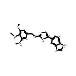 COc1cc(CSc2nnc(-c3ccc4[nH]cnc4c3)o2)cc(OC)c1OC